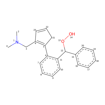 CN(C)CC1=C(c2ccccc2C(OO)c2ccccc2)CC=C1